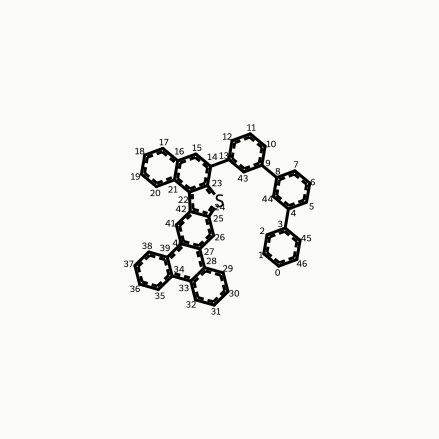 c1ccc(-c2cccc(-c3cccc(-c4cc5ccccc5c5c4sc4cc6c7ccccc7c7ccccc7c6cc45)c3)c2)cc1